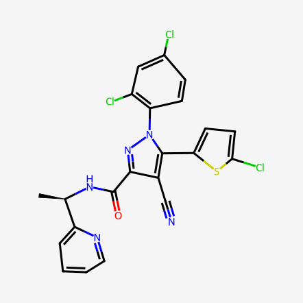 C[C@@H](NC(=O)c1nn(-c2ccc(Cl)cc2Cl)c(-c2ccc(Cl)s2)c1C#N)c1ccccn1